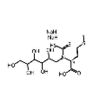 CSCC[C@@H](C(=O)O)N(CC(O)C(O)C(O)C(O)CO)C(=S)S.[NaH].[NaH]